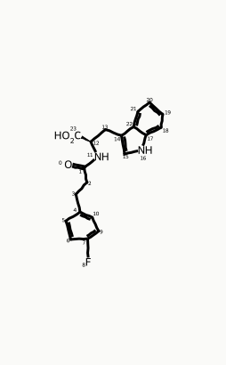 O=C(CCc1ccc(F)cc1)N[C@H](Cc1c[nH]c2ccccc12)C(=O)O